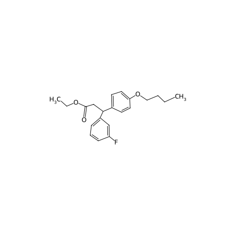 CCCCOc1ccc(C(CC(=O)OCC)c2cccc(F)c2)cc1